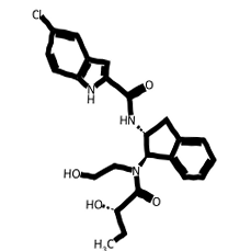 CC[C@H](O)C(=O)N(CCO)[C@@H]1c2ccccc2C[C@H]1NC(=O)c1cc2cc(Cl)ccc2[nH]1